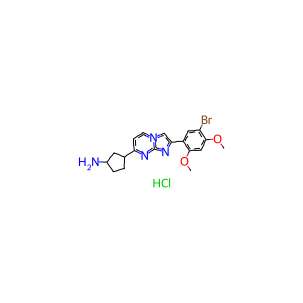 COc1cc(OC)c(-c2cn3ccc(C4CCC(N)C4)nc3n2)cc1Br.Cl